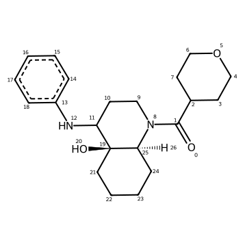 O=C(C1CCOCC1)N1CCC(Nc2ccccc2)[C@@]2(O)CCCC[C@H]12